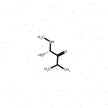 CN[C@@H](O)C(=O)C(C)C